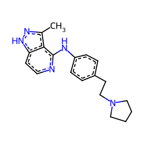 Cc1n[nH]c2ccnc(Nc3ccc(CCN4CCCC4)cc3)c12